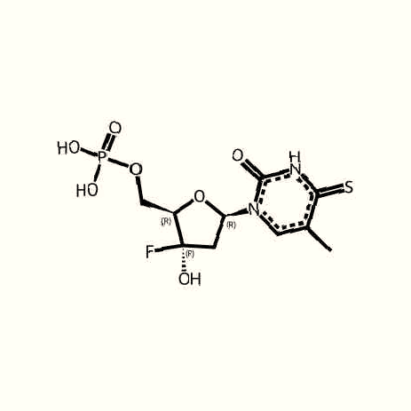 Cc1cn([C@H]2C[C@@](O)(F)[C@@H](COP(=O)(O)O)O2)c(=O)[nH]c1=S